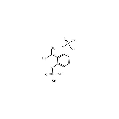 CC(C)c1c(OP(=O)(O)O)cccc1OP(=O)(O)O